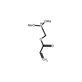 C=CC(=O)OC[SiH](OC)OC